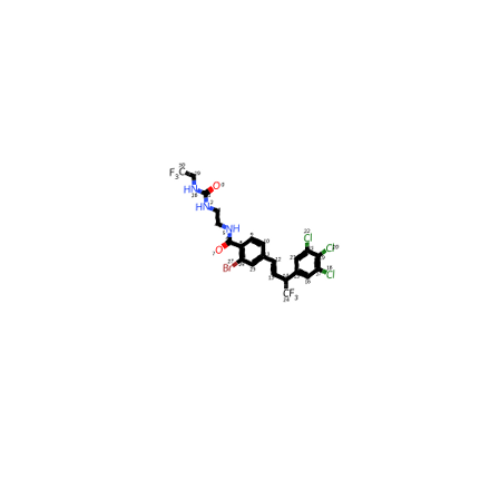 O=C(NCCNC(=O)c1ccc(/C=C/C(c2cc(Cl)c(Cl)c(Cl)c2)C(F)(F)F)cc1Br)NCC(F)(F)F